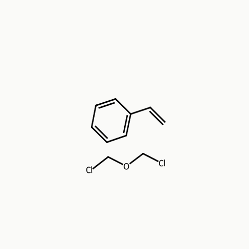 C=Cc1ccccc1.ClCOCCl